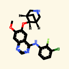 COc1cc2ncnc(Nc3cccc(Cl)c3F)c2cc1O[C@@H]1[C@@H]2CNC[C@H]1C2